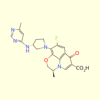 Cc1cc(N[C@@H]2CCN(c3c(F)cc4c(=O)c(C(=O)O)cn5c4c3OC[C@@H]5C)C2)ncn1